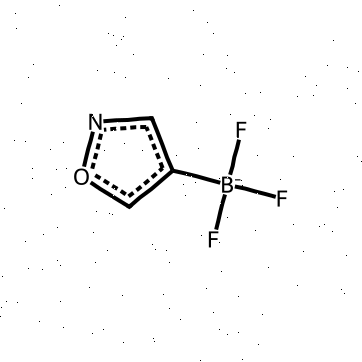 F[B-](F)(F)c1cnoc1